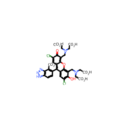 O=C(O)CN(CC(=O)O)Cc1c2oc3c(CN(CC(=O)O)CC(=O)O)c(O)c(Cl)cc3c(-c3ccc4[nH]nnc4c3C(=O)O)c-2cc(Cl)c1=O